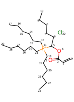 C=CC(=O)OC(CCCCC)[P+](CCCCCC)(CCCCCC)CCCCCC.[Cl-]